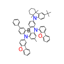 Cc1cc2c3c(c1)N(c1cccc4c1oc1ccccc14)c1cc(N4c5ccc(C(C)(C)C)cc5C5(C)CCCCC45C)ccc1B3c1cc(-c3ccccc3)ccc1N2c1ccc2oc3ccccc3c2c1